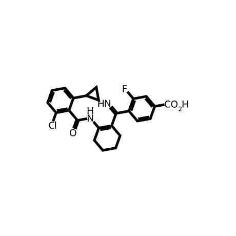 N=C(C1=C(NC(=O)c2c(Cl)cccc2C2CC2)CCCC1)c1ccc(C(=O)O)cc1F